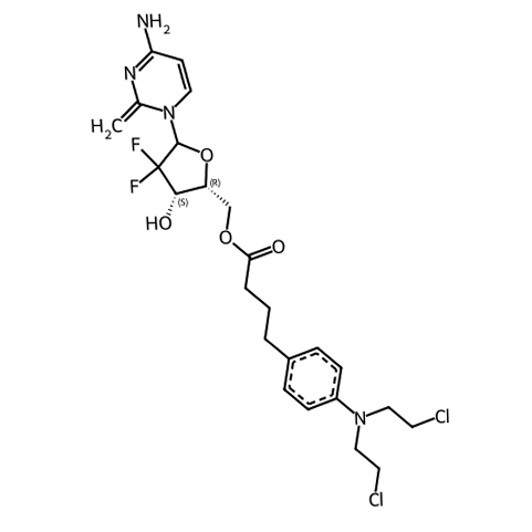 C=C1N=C(N)C=CN1C1O[C@H](COC(=O)CCCc2ccc(N(CCCl)CCCl)cc2)[C@H](O)C1(F)F